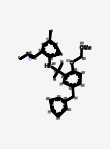 C/N=C/c1cc(C)ccc1PC(C)(C)c1cc(Cc2ccccc2)ccc1OCOC